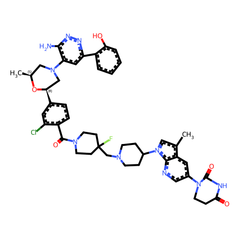 Cc1cn(C2CCN(CC3(F)CCN(C(=O)c4ccc([C@@H]5CN(c6cc(-c7ccccc7O)nnc6N)C[C@H](C)O5)cc4Cl)CC3)CC2)c2ncc(N3CCC(=O)NC3=O)cc12